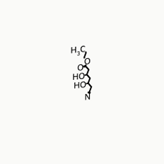 CCCOC(=O)CC(O)CC(O)CC#N